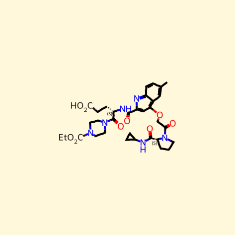 CCOC(=O)N1CCN(C(=O)[C@H](CCC(=O)O)NC(=O)c2cc(OCC(=O)N3CCC[C@H]3C(=O)NC3CC3)c3cc(C)ccc3n2)CC1